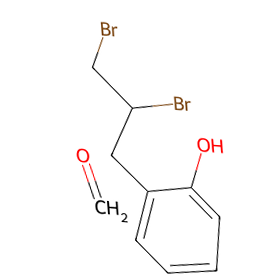 C=O.Oc1ccccc1CC(Br)CBr